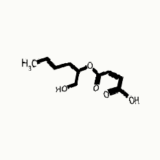 CCCCC(CO)OC(=O)/C=C\C(=O)O